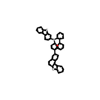 c1ccc(-c2ccccc2N(c2ccc(-c3ccc4c(ccc5oc6ccccc6c54)c3)cc2)c2ccc3c(c2)sc2ccccc23)cc1